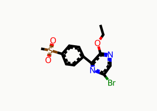 CCOc1ncc(Br)nc1-c1ccc(S(C)(=O)=O)cc1